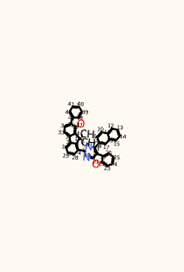 CC1(C)c2c(-c3nc(-c4ccc5ccccc5c4)c4c(n3)oc3ccccc34)cccc2-c2ccc3c(oc4ccccc43)c21